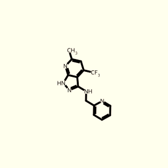 Cc1cc(C(F)(F)F)c2c(NCc3ccccn3)n[nH]c2n1